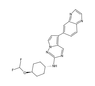 FC(F)O[C@H]1CC[C@H](Nc2ncc3c(-c4ccc5nccnc5c4)ccn3n2)CC1